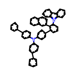 c1ccc(-c2ccc(N(c3ccc(-c4ccccc4)cc3)c3ccc(-c4cccc(-n5c6ccccc6c6ccccc65)c4-c4ccc5ccccc5c4)cc3)cc2)cc1